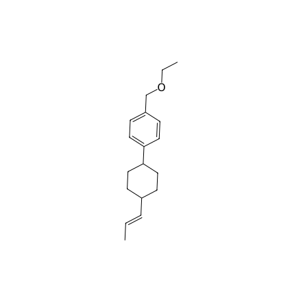 CC=CC1CCC(c2ccc(COCC)cc2)CC1